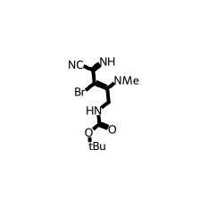 CN/C(CNC(=O)OC(C)(C)C)=C(/Br)C(=N)C#N